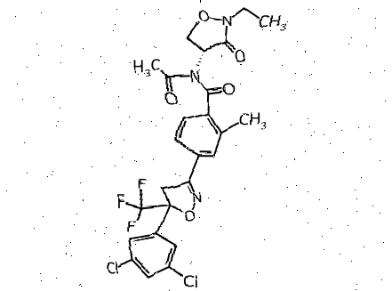 CCN1OC[C@@H](N(C(C)=O)C(=O)c2ccc(C3=NOC(c4cc(Cl)cc(Cl)c4)(C(F)(F)F)C3)cc2C)C1=O